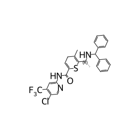 CC1=C([C@@H](C)NC(c2ccccc2)c2ccccc2)SC(C(=O)Nc2cc(C(F)(F)F)c(Cl)cn2)=CC1